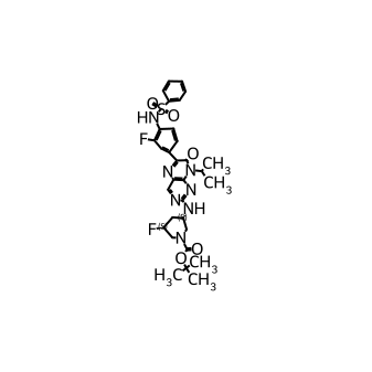 CC(C)n1c(=O)c(-c2ccc(NS(=O)(=O)c3ccccc3)c(F)c2)nc2cnc(N[C@H]3C[C@H](F)CN(C(=O)OC(C)(C)C)C3)nc21